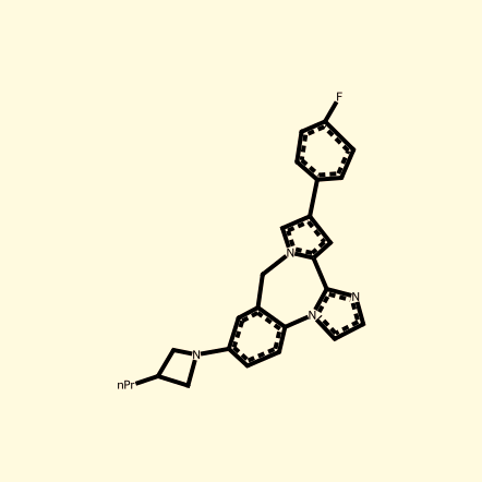 CCCC1CN(c2ccc3c(c2)Cn2cc(-c4ccc(F)cc4)cc2-c2nccn2-3)C1